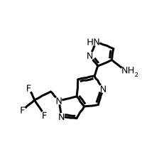 Nc1c[nH]nc1-c1cc2c(cn1)cnn2CC(F)(F)F